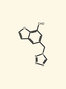 O=Cc1cc(Cn2cnnn2)cc2ccoc12